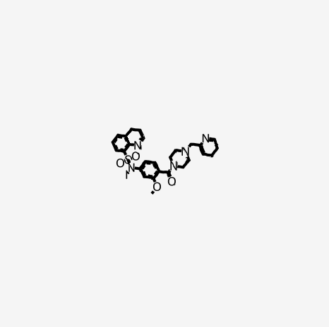 COc1cc(N(I)S(=O)(=O)c2cccc3c2N=CCC3)ccc1C(=O)N1CCN(CC2=CCCC=N2)CC1